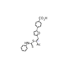 CC(=O)/C(=C/c1ccc(-c2ccc(C(=O)O)cc2)o1)SC(=S)Nc1ccccc1